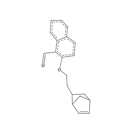 O=Cc1c(OCCC2CC3C=CC2C3)ccc2ccccc12